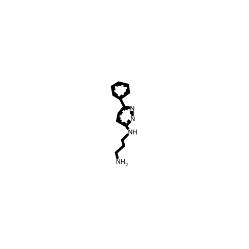 NCCCNc1ccc(-c2ccccc2)nn1